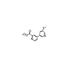 COOC(=O)c1cc(-c2cncc(SC)c2)ccn1